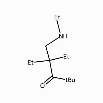 CCNCC(CC)(CC)C(=O)C(C)(C)C